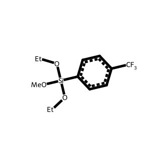 CCO[Si](OC)(OCC)c1ccc(C(F)(F)F)cc1